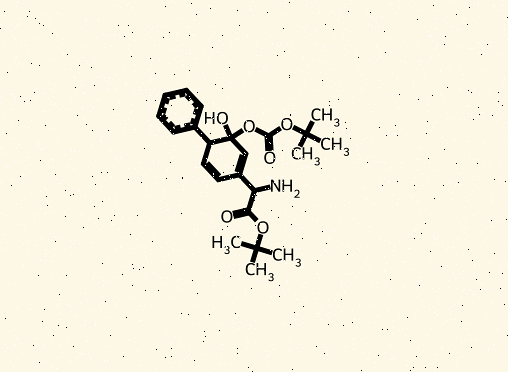 CC(C)(C)OC(=O)OC1(O)C=C(C(N)C(=O)OC(C)(C)C)C=CC1c1ccccc1